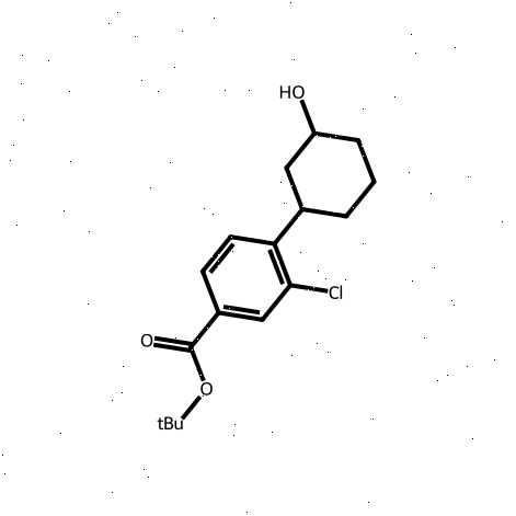 CC(C)(C)OC(=O)c1ccc(C2CCCC(O)C2)c(Cl)c1